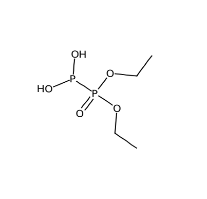 CCOP(=O)(OCC)P(O)O